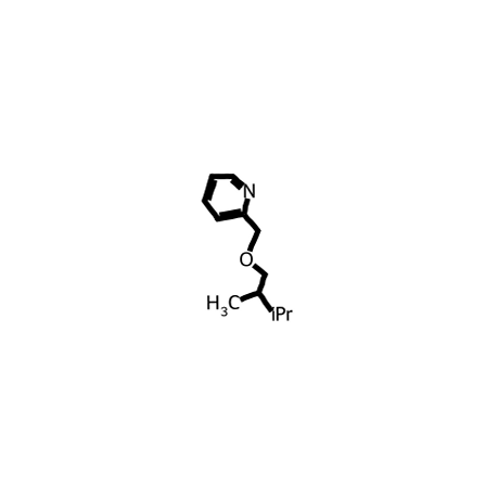 CC(C)C(C)COCc1ccccn1